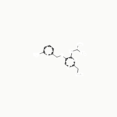 CCCC[C@@H](C)Nc1nc(CNC)ncc1OCc1cccc(C)n1